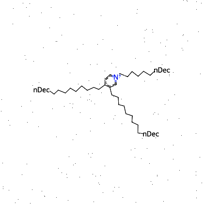 CCCCCCCCCCCCCCCCCCCc1cc[n+](CCCCCCCCCCCCCCCC)cc1CCCCCCCCCCCCCCCCCCC